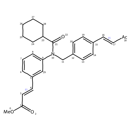 COC(=O)/C=C/c1cccc(N(Cc2ccc(/C=C/C(C)=O)cc2)C(=O)C2CCCCC2)c1